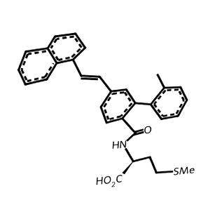 CSCC[C@H](NC(=O)c1ccc(C=Cc2cccc3ccccc23)cc1-c1ccccc1C)C(=O)O